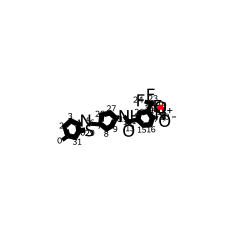 Cc1ccc2nc(-c3ccc(NC(=O)c4ccc([N+](=O)[O-])c(C(F)(F)F)c4)cc3)sc2c1